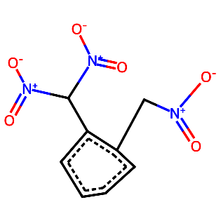 O=[N+]([O-])Cc1ccccc1C([N+](=O)[O-])[N+](=O)[O-]